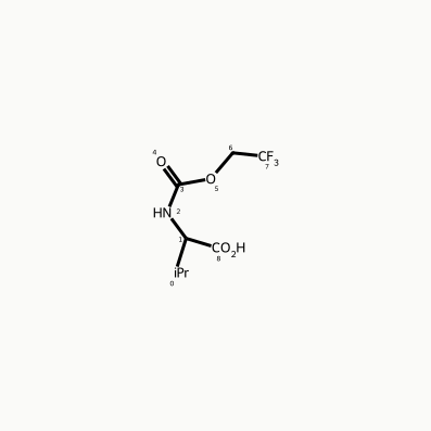 CC(C)C(NC(=O)OCC(F)(F)F)C(=O)O